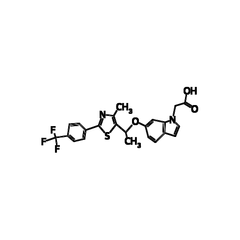 Cc1nc(-c2ccc(C(F)(F)F)cc2)sc1C(C)Oc1ccc2ccn(CC(=O)O)c2c1